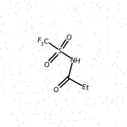 CCC(=O)NS(=O)(=O)C(F)(F)F